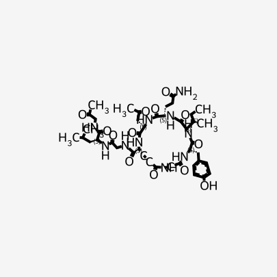 CC[C@H](C)[C@@H]1NC(=O)[C@H](Cc2ccc(O)cc2)NC(=O)CNC(=O)CC[C@@H](C(=O)NCC(=O)N[C@@H](CC(C)C)C(=O)NCC(C)=O)NC(=O)[C@H](CC(C)=O)NC(=O)[C@H](CCC(N)=O)NC1=O